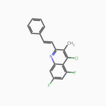 Cc1c(C=Cc2ccccc2)nc2cc(F)cc(F)c2c1Cl